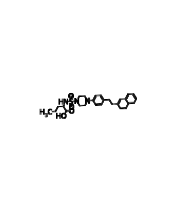 CCCC(NS(=O)(=O)N1CCN(c2ccc(CCc3ccc4ccccc4c3)cc2)CC1)C(=O)O